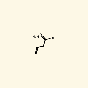 C=CCC(=O)O.[NaH]